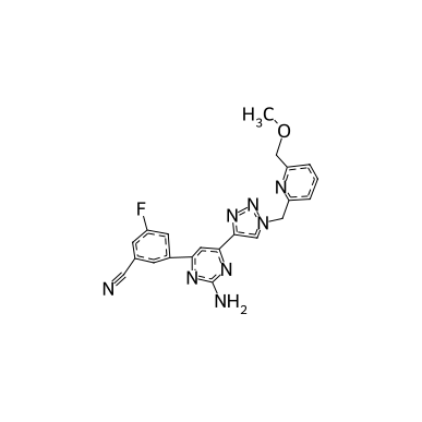 COCc1cccc(Cn2cc(-c3cc(-c4cc(F)cc(C#N)c4)nc(N)n3)nn2)n1